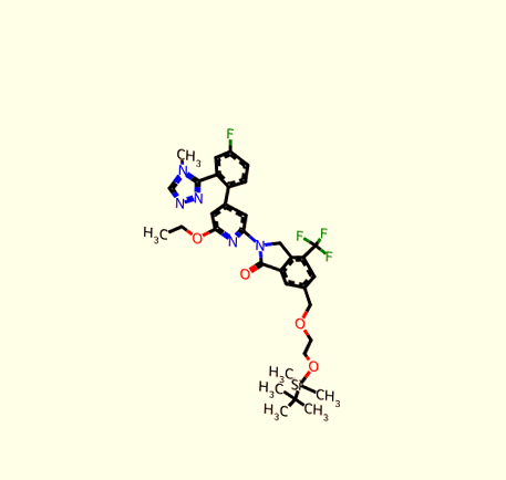 CCOc1cc(-c2ccc(F)cc2-c2nncn2C)cc(N2Cc3c(cc(COCCO[Si](C)(C)C(C)(C)C)cc3C(F)(F)F)C2=O)n1